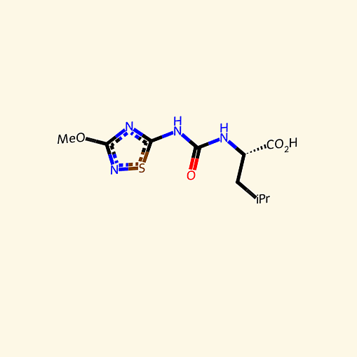 COc1nsc(NC(=O)N[C@@H](CC(C)C)C(=O)O)n1